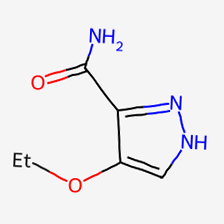 CCOc1c[nH]nc1C(N)=O